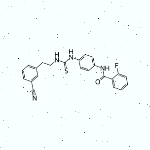 N#Cc1cccc(CCNC(=S)Nc2ccc(NC(=O)c3ccccc3F)cc2)c1